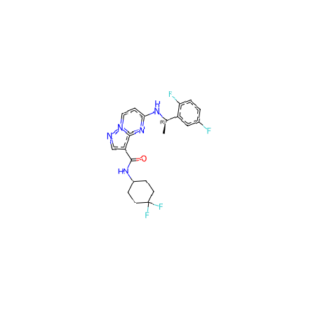 C[C@@H](Nc1ccn2ncc(C(=O)NC3CCC(F)(F)CC3)c2n1)c1cc(F)ccc1F